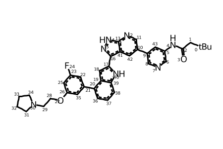 CC(C)(C)CC(=O)Nc1cncc(-c2cnc3[nH]nc(-c4cc5c(-c6cc(F)cc(OCCN7CCCC7)c6)cccc5[nH]4)c3c2)c1